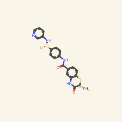 C[C@H]1Sc2ccc(C(=O)Nc3ccc([S+]([O-])Nc4cccnc4)cc3)cc2NC1=O